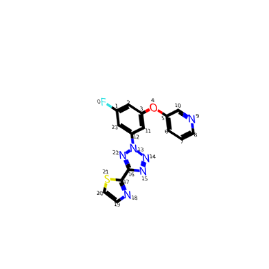 Fc1cc(Oc2cccnc2)cc(-n2nnc(-c3nccs3)n2)c1